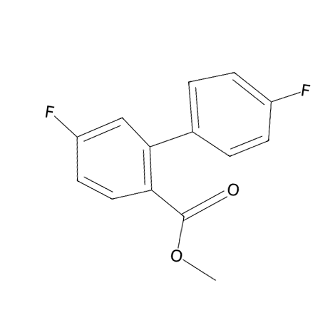 COC(=O)c1ccc(F)cc1-c1ccc(F)cc1